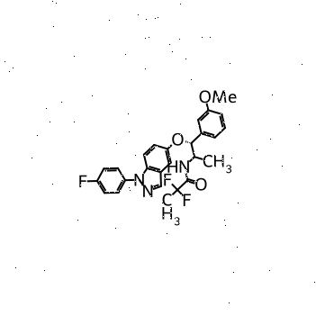 COc1cccc([C@@H](Oc2ccc3c(cnn3-c3ccc(F)cc3)c2)C(C)NC(=O)C(C)(F)F)c1